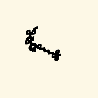 CCOC(=O)c1coc(-c2ccnc(OCCCCCCOS(C)(=O)=O)c2)n1